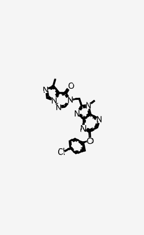 Cc1ncn2ncn(Cc3nc4nc(Oc5ccc(Cl)cc5)cnc4n3C)c(=O)c12